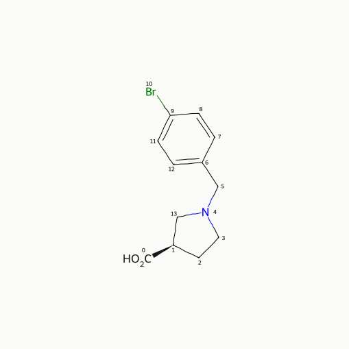 O=C(O)[C@@H]1CCN(Cc2ccc(Br)cc2)C1